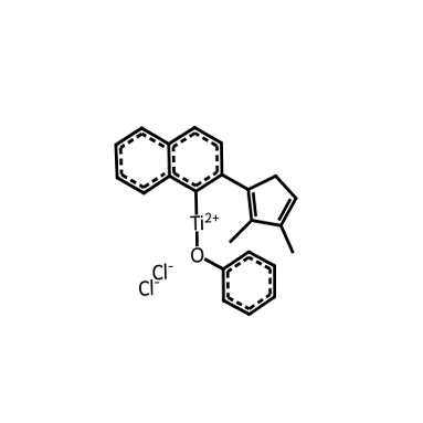 CC1=CCC(c2ccc3ccccc3[c]2[Ti+2][O]c2ccccc2)=C1C.[Cl-].[Cl-]